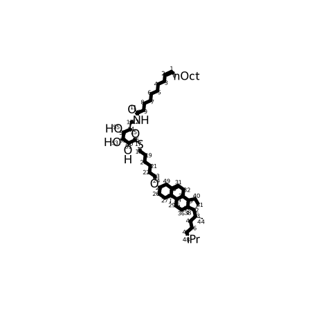 CCCCCCCC/C=C\CCCCCCCC(=O)NC[C@H]1O[C@@H](SCCCCCCO[C@H]2CC[C@@]3(C)C(=CCC4C3CC[C@@]3(C)C4CC[C@@H]3[C@H](C)CCCC(C)C)C2)[C@H](O)[C@@H](O)[C@H]1O